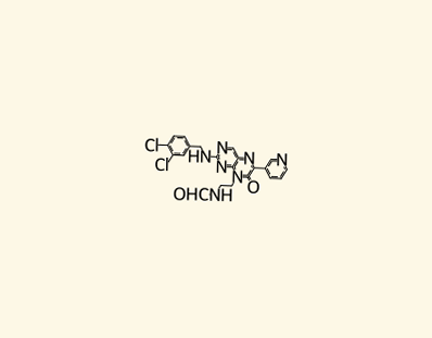 O=CNCCn1c(=O)c(-c2cccnc2)nc2cnc(NCc3ccc(Cl)c(Cl)c3)nc21